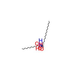 CCCCCCCCCCCCCCCC[C@H](CO)NC(=O)C(O)CCCCCCCCCC